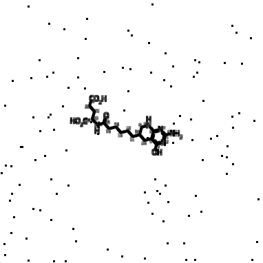 Nc1nc(O)c2c(n1)NCC(CCCCCC(=O)N[C@@H](CCC(=O)O)C(=O)O)C2